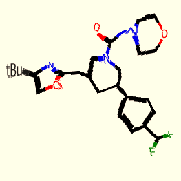 CC(C)(C)c1coc(C2CC(c3ccc(C(F)F)cc3)CN(C(=O)N3CCOCC3)C2)n1